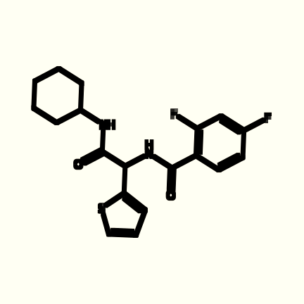 O=C(NC(C(=O)NC1CCCCC1)c1cccs1)c1ccc(F)cc1F